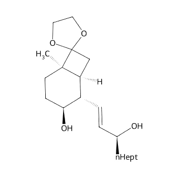 CCCCCCC[C@H](O)/C=C/[C@@H]1[C@@H](O)CC[C@]2(C)[C@H]1CC21OCCO1